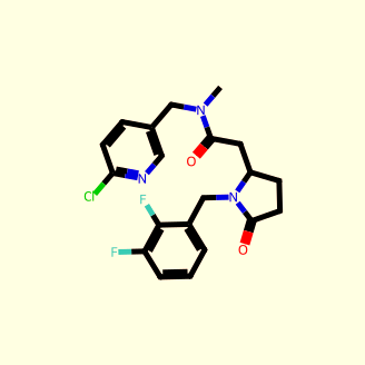 CN(Cc1ccc(Cl)nc1)C(=O)CC1CCC(=O)N1Cc1cccc(F)c1F